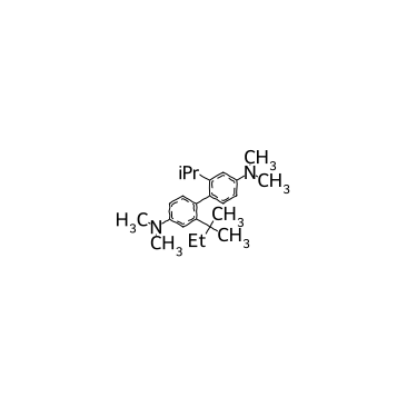 CCC(C)(C)c1cc(N(C)C)ccc1-c1ccc(N(C)C)cc1C(C)C